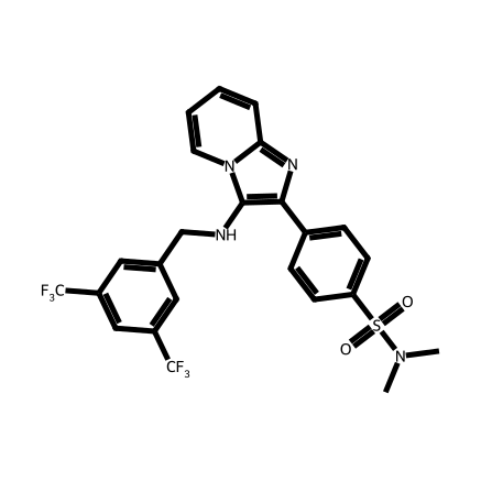 CN(C)S(=O)(=O)c1ccc(-c2nc3ccccn3c2NCc2cc(C(F)(F)F)cc(C(F)(F)F)c2)cc1